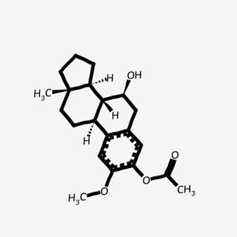 COc1cc2c(cc1OC(C)=O)C[C@H](O)[C@@H]1[C@@H]2CC[C@]2(C)CCC[C@@H]12